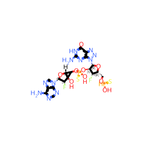 Nc1nc2c(nnn2[C@@H]2O[C@H](CO[PH](O)=S)[C@H](F)[C@H]2OP(O)(=S)OC2[C@H]3O[C@@H](n4cnc5c(N)ncnc54)[C@@H](F)[C@@]23O)c(=O)[nH]1